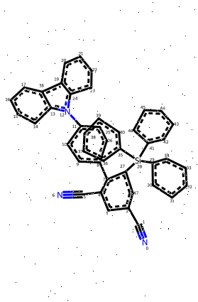 N#Cc1cc(C#N)c(-c2ccc(-n3c4ccccc4c4ccccc43)cc2)c([Si](c2ccccc2)(c2ccccc2)c2ccccc2)c1